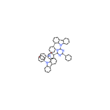 c1ccc(-c2nc(-c3ccccc3)nc(-n3c4ccccc4c4cccc(-c5ccc(N(c6ccccc6)c6cccc7c8ccccc8n(-c8ccccc8)c67)cc5)c43)n2)cc1